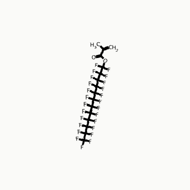 C=C(C)C(=O)OC(F)(F)C(F)(F)C(F)(F)C(F)(F)C(F)(F)C(F)(F)C(F)(F)C(F)(F)C(F)(F)C(F)(F)C(F)(F)C(F)(F)F